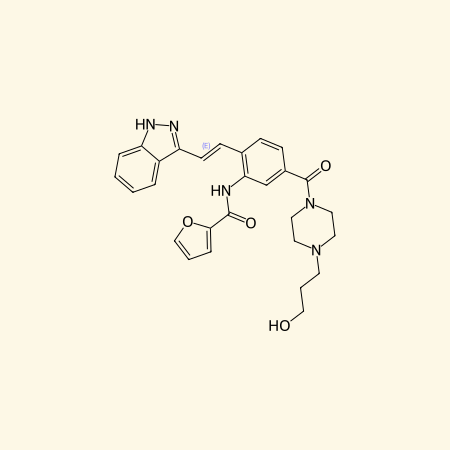 O=C(Nc1cc(C(=O)N2CCN(CCCO)CC2)ccc1/C=C/c1n[nH]c2ccccc12)c1ccco1